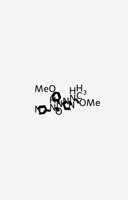 COC[C@H](C)Nc1nccc(N(C(=O)NCc2ccncc2)c2ccc(OC)cc2)n1